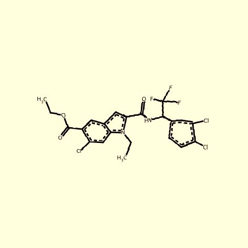 CCOC(=O)c1cc2cc(C(=O)NC(c3ccc(Cl)c(Cl)c3)C(F)(F)F)n(CC)c2cc1Cl